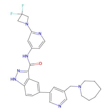 O=C(Nc1ccnc(N2CC(F)(F)C2)c1)c1n[nH]c2ccc(-c3cncc(CN4CCCCCC4)c3)cc12